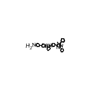 Nc1ccc(-c2ccc(Bc3ccccc3Nc3ccc(-c4nc(-c5ccccc5)nc(-c5ccccc5)n4)cc3)cc2)cc1